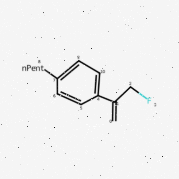 C=C(CF)c1ccc(CCCCC)cc1